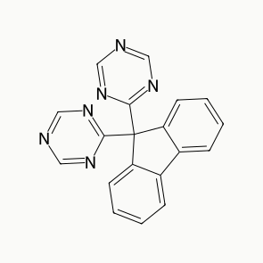 c1ccc2c(c1)-c1ccccc1C2(c1ncncn1)c1ncncn1